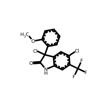 COc1ccccc1C1(Cl)C(=O)Nc2cc(C(F)(F)F)c(Cl)cc21